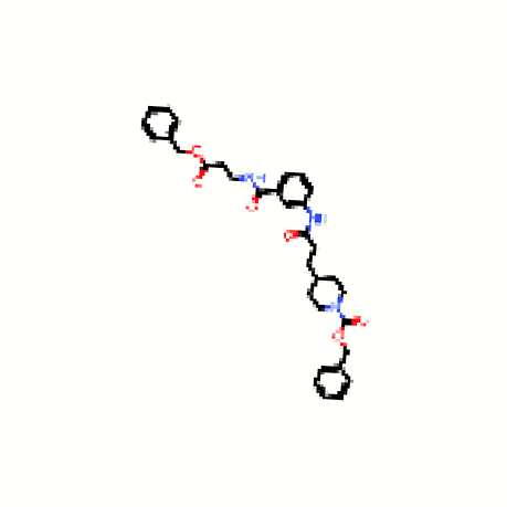 O=C(CCC1CCN(C(=O)OCc2ccccc2)CC1)Nc1cccc(C(=O)NCCC(=O)OCc2ccccc2)c1